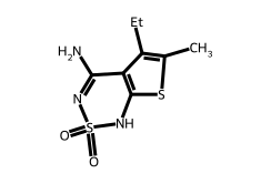 CCc1c(C)sc2c1C(N)=NS(=O)(=O)N2